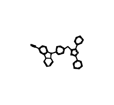 N#Cc1ccc2c(c1)C1C=CC=CC1N2c1ccc(Cn2nc(-c3ccccc3)nc2-c2ccccc2)cc1